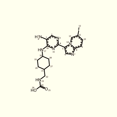 Nc1cnc(-c2cnc3ccc(F)cn23)nc1NC1CCC(CNC(=O)O)CC1